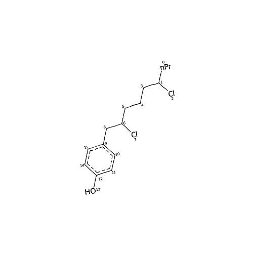 CCCC(Cl)CCCC(Cl)Cc1ccc(O)cc1